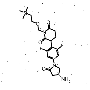 C[Si](C)(C)CCOCN1C(=O)CCC(c2c(F)cc(N3C[C@H](N)CC3=O)cc2F)C1=O